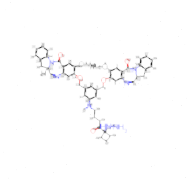 COc1cc2c(cc1OCc1cc(COc3cc4c(cc3OC)C(=O)N3c5ccccc5C[C@H]3C=N4)cc(N(C)CCCC(=O)C3(NN)CCC3)c1)N=CC1Cc3ccccc3N1C2=O